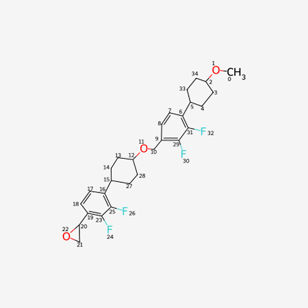 COC1CCC(c2ccc(COC3CCC(c4ccc(C5CO5)c(F)c4F)CC3)c(F)c2F)CC1